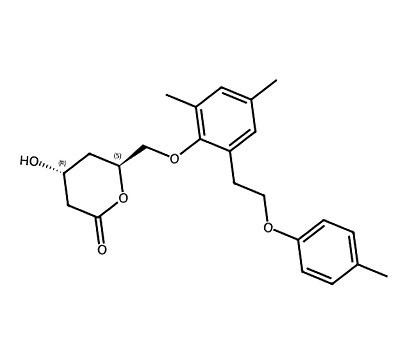 Cc1ccc(OCCc2cc(C)cc(C)c2OC[C@@H]2C[C@@H](O)CC(=O)O2)cc1